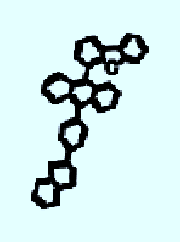 c1ccc2cc(-c3ccc(-c4c5ccccc5c(-c5cccc6c5oc5ccccc56)c5ccccc45)cc3)ccc2c1